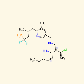 C=C(Cl)/C(=C/NCc1cnc(CC(C)CC(F)(F)P)c(C)c1)C(N)/C=C\CCC